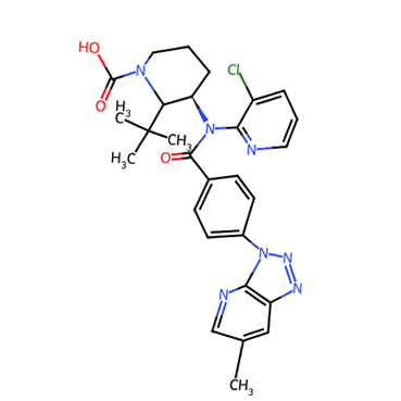 Cc1cnc2c(c1)nnn2-c1ccc(C(=O)N(c2ncccc2Cl)[C@@H]2CCCN(C(=O)O)C2C(C)(C)C)cc1